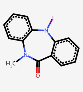 CN1C(=O)c2ccccc2N(I)c2ccccc21